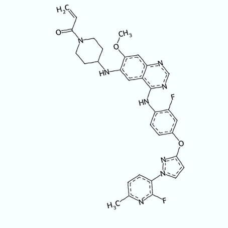 C=CC(=O)N1CCC(Nc2cc3c(Nc4ccc(Oc5ccn(-c6ccc(C)nc6F)n5)cc4F)ncnc3cc2OC)CC1